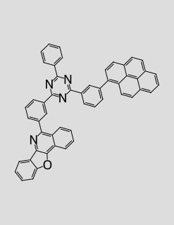 c1ccc(-c2nc(-c3cccc(-c4nc5c6ccccc6oc5c5ccccc45)c3)nc(-c3cccc(-c4ccc5ccc6cccc7ccc4c5c67)c3)n2)cc1